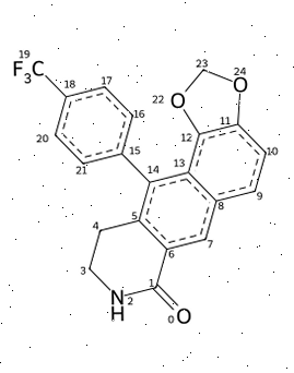 O=C1NCCc2c1cc1ccc3c(c1c2-c1ccc(C(F)(F)F)cc1)OCO3